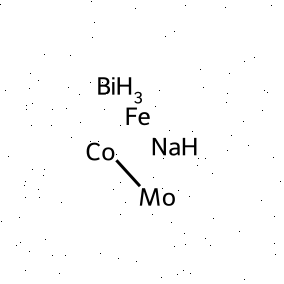 [BiH3].[Co][Mo].[Fe].[NaH]